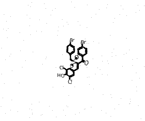 O=C(/C(=C/c1cc(Cl)c(O)c(Cl)c1)S(=O)(=O)Cc1ccc(Br)cc1)c1ccc(Br)cc1